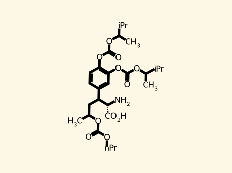 CCCOC(=O)OC(C)CC(c1ccc(OC(=O)OC(C)C(C)C)c(OC(=O)OC(C)C(C)C)c1)[C@H](N)C(=O)O